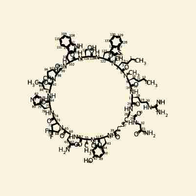 CCCC[C@H]1C(=O)N(C)[C@@H](CCCC)C(=O)N[C@@H](CCCNC(=N)N)C(=O)N[C@H](C(=O)NCC(N)=O)CSCC(=O)N[C@@H](Cc2ccc(O)cc2)C(=O)N(C)[C@@H](C)C(=O)N[C@@H](CC(N)=O)C(=O)N2CC(F)(F)CC2C(=O)N[C@@H](Cc2cnc[nH]2)C(=O)N[C@@H](CC(C)C)C(=O)N2CCC[C@H]2C(=O)NC(Cc2c[nH]c3ccccc23)C(=O)N[C@@H](CO)C(=O)N[C@@H](Cc2csc3ccccc23)C(=O)N1C